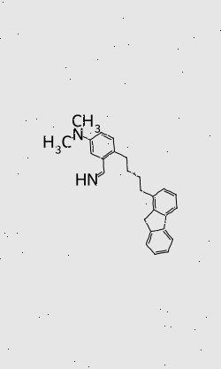 CN(C)c1ccc(CCCCc2cccc3c2Cc2ccccc2-3)c(C=N)c1